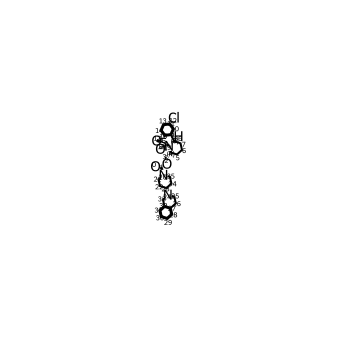 O=C(OC[C@H]1CCC[C@H]2c3cc(Cl)ccc3S(=O)(=O)N12)N1CCC(N2CCc3ccccc3C2)CC1